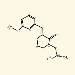 COc1cccc(/C=C2\CCCC(CN(C)C)C2=O)c1